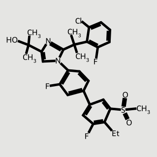 CCc1c(F)cc(-c2ccc(-n3cc(C(C)(C)O)nc3C(C)(C)c3c(F)cccc3Cl)c(F)c2)cc1S(C)(=O)=O